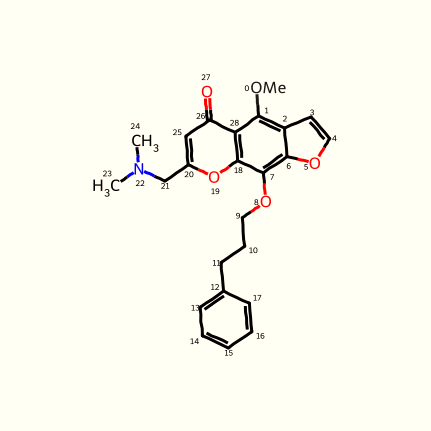 COc1c2ccoc2c(OCCCc2ccccc2)c2oc(CN(C)C)cc(=O)c12